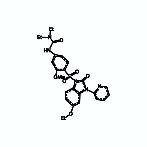 CCOc1ccc2c(c1)n(-c1ccccn1)c(=O)n2S(=O)(=O)c1ccc(NC(=O)N(CC)CC)cc1OC